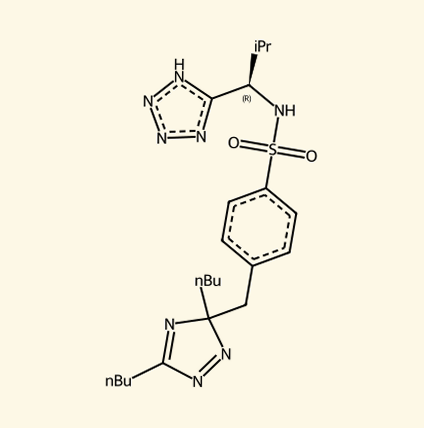 CCCCC1=NC(CCCC)(Cc2ccc(S(=O)(=O)N[C@@H](c3nnn[nH]3)C(C)C)cc2)N=N1